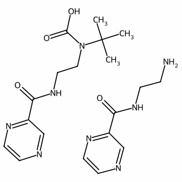 CC(C)(C)N(CCNC(=O)c1cnccn1)C(=O)O.NCCNC(=O)c1cnccn1